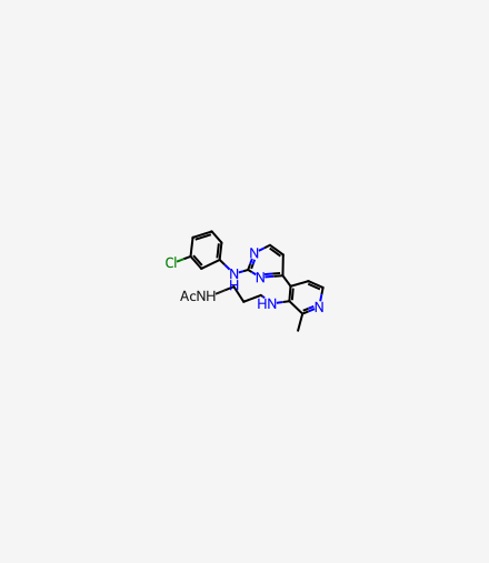 CC(=O)NCCCNc1c(-c2ccnc(Nc3cccc(Cl)c3)n2)ccnc1C